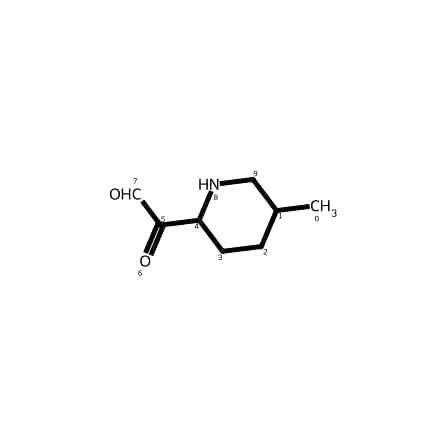 CC1CCC(C(=O)C=O)NC1